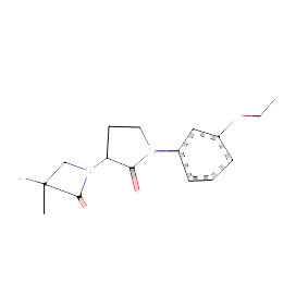 CC1(Br)CN(C2CCN(c3cccc(OCC(F)(F)F)c3)C2=O)C1=O